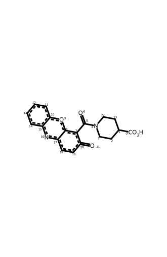 O=C(O)C1CCN(C(=O)c2c3oc4ccccc4nc-3ccc2=O)CC1